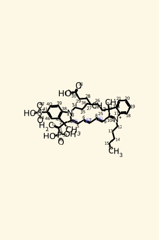 C=C(C1(C)/C(=C/C=C/C=C/C2=[N+](CCCCC)c3ccccc3C2(C)CCCCCC(=O)O)N(CCCC)c2ccc(S(=O)(=O)O)cc21)P(=O)(O)O